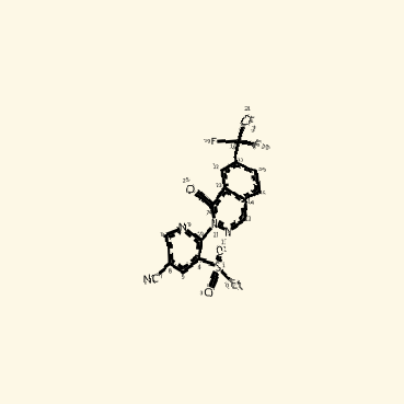 CCS(=O)(=O)c1cc(C#N)cnc1-n1ncc2ccc(C(F)(F)C(F)(F)F)cc2c1=O